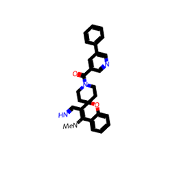 CNC1=C(C=N)C2(CCN(C(=O)c3cncc(-c4ccccc4)c3)CC2)Oc2ccccc21